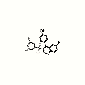 O=S(=O)(c1cc(F)cc(F)c1)c1cnc2ccc(F)cc2c1-c1ccc(O)cc1